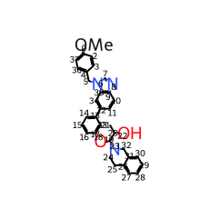 COc1ccc(Cn2cnc3ccc(-c4cccc(OC(C(C)O)N5CCc6ccccc6C5)c4)cc32)cc1